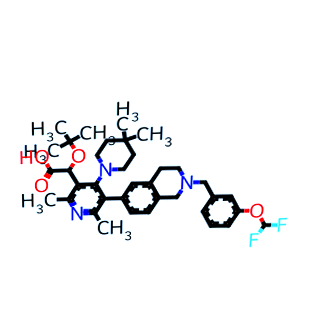 Cc1nc(C)c(C(OC(C)(C)C)C(=O)O)c(N2CCC(C)(C)CC2)c1-c1ccc2c(c1)CCN(Cc1cccc(OC(F)F)c1)C2